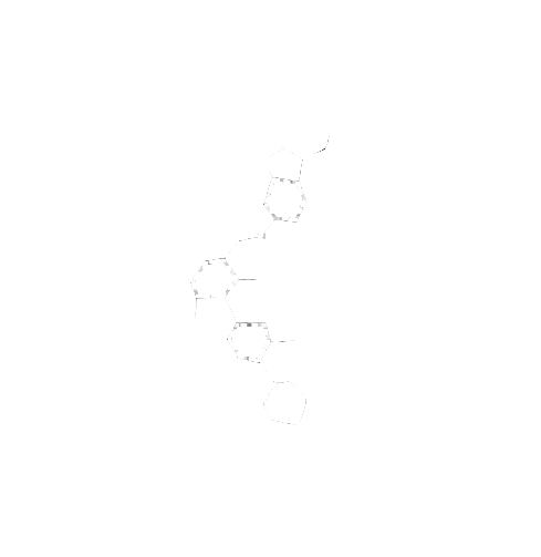 Cc1ccc(CNc2ccc3c(c2)OC[C@H]3CC=O)c(C)c1-c1cnc(N2CCOCC2)c(F)c1